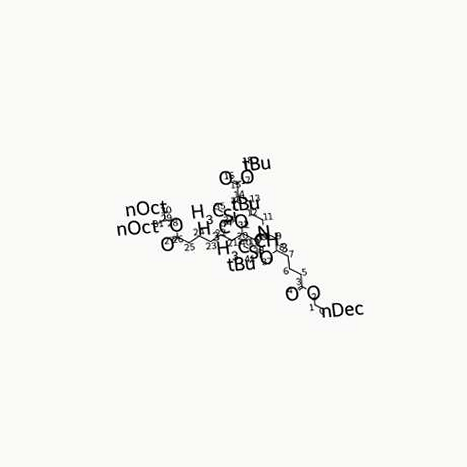 CCCCCCCCCCCOC(=O)CCCC(CN(CCCCC(=O)OC(C)(C)C)CC(CCCCCC(=O)OC(CCCCCCCC)CCCCCCCC)O[Si](C)(C)C(C)(C)C)O[Si](C)(C)C(C)(C)C